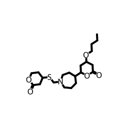 CCCCOC1CC(=O)OC(C2CCCN(CSC3CCOC(=O)C3)CC2)C1